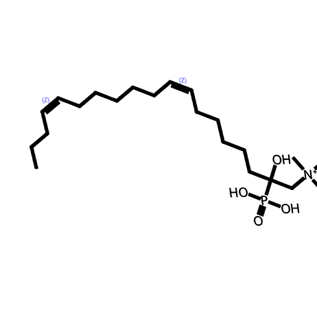 CCC/C=C\CCCCC/C=C\CCCCCC(O)(C[N+](C)(C)C)P(=O)(O)O